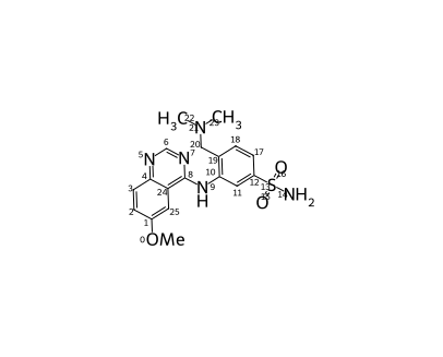 COc1ccc2ncnc(Nc3cc(S(N)(=O)=O)ccc3CN(C)C)c2c1